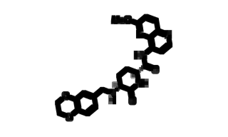 COc1ccc2nccc(NC(=O)[C@H]3CC[C@@H](NCc4ccc5c(c4)OCCO5)C(=O)N3)c2n1